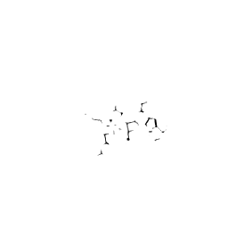 CSCCOP(=O)(N[C@@H](C)C(=O)OC(C)C)OC[C@@]1(C#N)O[C@@H](c2ccc3c(N)ncnn23)[C@H](OC(=O)C(C)C)[C@@H]1OC(=O)C(C)C